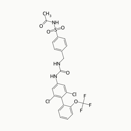 CC(=O)NS(=O)(=O)c1ccc(CNC(=O)Nc2cc(Cl)c(-c3ccccc3OC(F)(F)F)c(Cl)c2)cc1